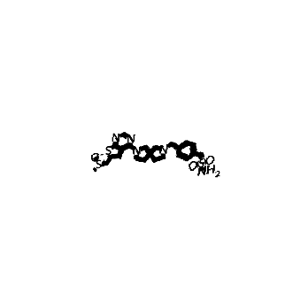 C[S+]([O-])Cc1cc2c(N3CCC4(CCN(Cc5ccc(CS(N)(=O)=O)cc5)C4)C3)ncnc2s1